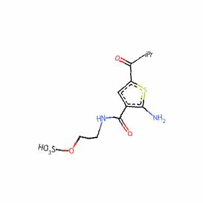 CC(C)C(=O)c1cc(C(=O)NCCOS(=O)(=O)O)c(N)s1